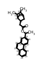 CC(OC(=O)CC1CC2CC1C(C)C2C)c1ccc2c(ccc3ccccc32)c1